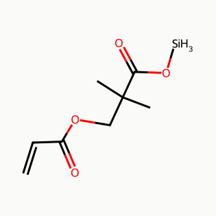 C=CC(=O)OCC(C)(C)C(=O)O[SiH3]